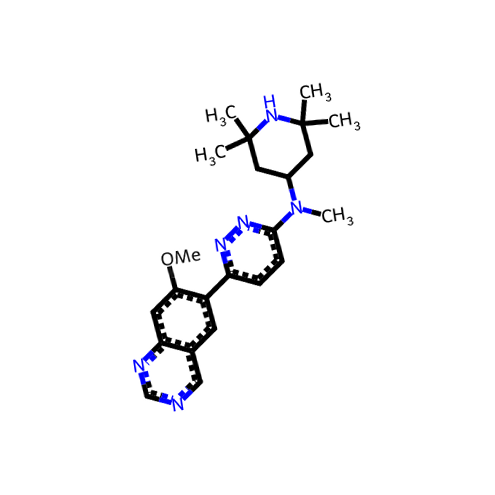 COc1cc2ncncc2cc1-c1ccc(N(C)C2CC(C)(C)NC(C)(C)C2)nn1